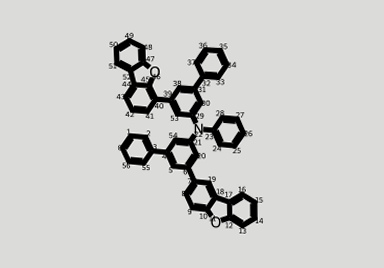 c1ccc(-c2cc(-c3ccc4oc5ccccc5c4c3)cc(N(c3ccccc3)c3cc(-c4ccccc4)cc(-c4cccc5c4oc4ccccc45)c3)c2)cc1